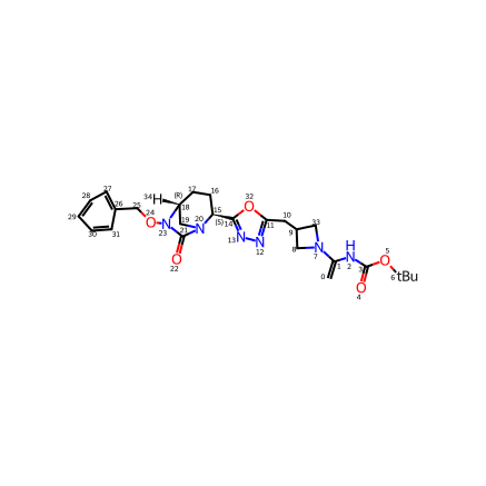 C=C(NC(=O)OC(C)(C)C)N1CC(Cc2nnc([C@@H]3CC[C@@H]4CN3C(=O)N4OCc3ccccc3)o2)C1